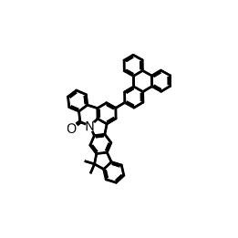 CC1(C)c2ccccc2-c2cc3c4cc(-c5ccc6c7ccccc7c7ccccc7c6c5)cc5c6ccccc6c(=O)n(c3cc21)c54